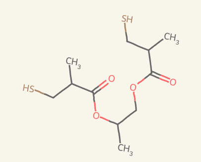 CC(COC(=O)C(C)CS)OC(=O)C(C)CS